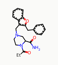 CCC(=O)N1CCN(Cc2c(Cc3ccccc3)oc3ccccc23)CC1C(N)=O